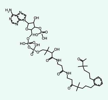 CC(=O)C(C)(C)CCCc1ccccc1CCCC(C)(C)C(=O)CCNC(=O)CCNC(=O)C(O)C(C)(C)COP(=O)(O)OP(=O)(O)OCC1OC(n2cnc3c(N)ncnc32)C(O)C1OP(=O)(O)O